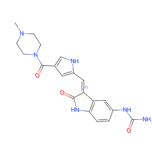 CN1CCN(C(=O)c2c[nH]c(/C=C3\C(=O)Nc4ccc(NC(N)=O)cc43)c2)CC1